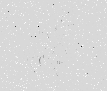 Cc1cc(NS(=O)(=O)Cc2ccccc2C#N)c(C)c(C(OC(C)(C)C)C(=O)O)c1-c1ccc2c(c1)CCCO2